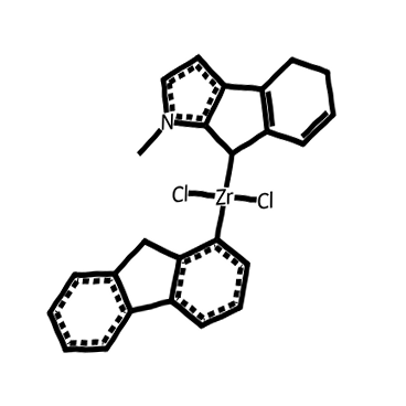 Cn1ccc2c1[CH]([Zr]([Cl])([Cl])[c]1cccc3c1Cc1ccccc1-3)C1=C2CCC=C1